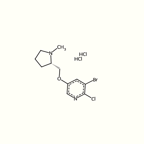 CN1CCC[C@H]1COc1cnc(Cl)c(Br)c1.Cl.Cl